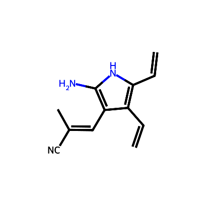 C=Cc1[nH]c(N)c(/C=C(\C)C#N)c1C=C